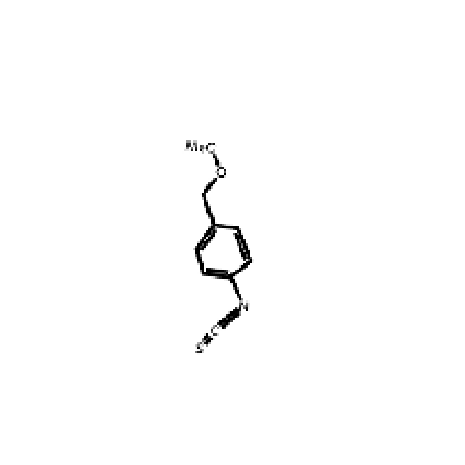 COOCc1ccc(N=C=S)cc1